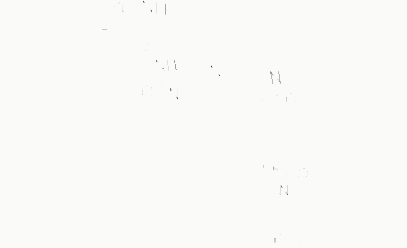 NC(=O)c1cc(NC(=O)N(C2CC2)C2CCN(Cc3ccc(Oc4ccc(S(=O)(=O)N5CCC(O)CC5)cc4)nc3)CC2)ccc1F